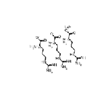 N=C(N)NCCC[C@H](N)C(=O)[O-].N=C(N)NCCC[C@H](N)C(=O)[O-].N=C(N)NCCC[C@H](N)C(=O)[O-].[La+3]